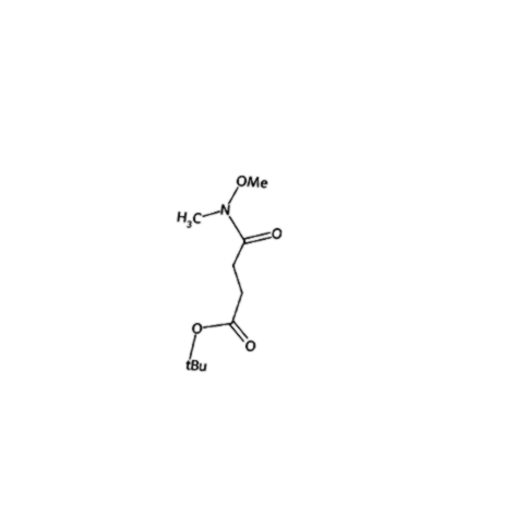 CON(C)C(=O)CCC(=O)OC(C)(C)C